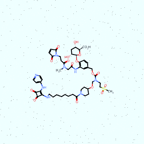 CN(CC(=O)Nc1cc(COC(=O)N(CCS(C)(=O)=O)COC2CCN(C(=O)CCCCCCCNc3c(Nc4ccncc4)c(=O)c3=O)CC2)ccc1O[C@@H]1O[C@H](C(=O)O)[C@@H](O)C[C@H]1O)C(=O)CCN1C(=O)C=CC1=O